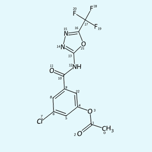 CC(=O)Oc1cc(Cl)cc(C(=O)Nc2nnc(C(F)(F)F)o2)c1